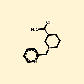 CC(C)[C@H]1CCCN(Cc2ccccn2)C1